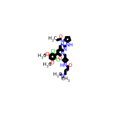 C=CC(=O)NC1CCCC1Nc1ncc2cc(-c3c(Cl)c(OC)cc(OC)c3Cl)c(=O)n(CC3CC(NC(=O)/C=C/CN(C)C)C3)c2n1